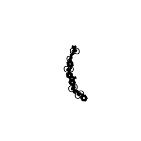 C=C(C)C(=O)OCCCOc1ccc(OC(=O)c2ccc3c(c2)C(C)c2cc(OC(=O)C(=C)CC(=O)OC4CCCCC4)ccc2-3)cc1